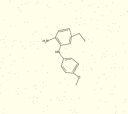 COc1ccc(Nc2cc(CI)ccc2N)cc1